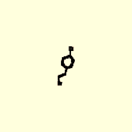 CCc1ccc(/C=C/Br)cc1